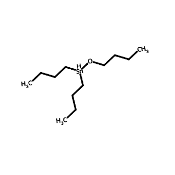 CCCC[O][SnH]([CH2]CCC)[CH2]CCC